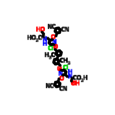 Cc1c(COc2nc(OCc3cc(C#N)cc(C#N)c3)c(CN[C@@H](CO)C(=O)O)cc2Cl)cccc1-c1cccc(COc2nc(OCc3cc(C#N)cc(C#N)c3)c(CN[C@@H](CCO)C(=O)O)cc2Cl)c1C